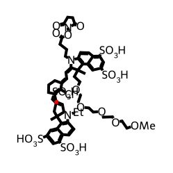 CC[N+]1=C(/C=C/C2=C(Cl)C(=C/C=C3/N(CCCC(=O)ON4C(=O)CCC4=O)c4ccc5c(S(=O)(=O)O)cc(S(=O)(=O)O)cc5c4C3(C)CCOCCOCCOCCOCCOC)/CCC2)C(C)(CCCS(=O)(=O)O)c2c1ccc1c(S(=O)(=O)O)cc(S(=O)(=O)O)cc21